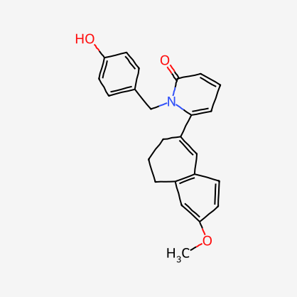 COc1ccc2c(c1)CCCC(c1cccc(=O)n1Cc1ccc(O)cc1)=C2